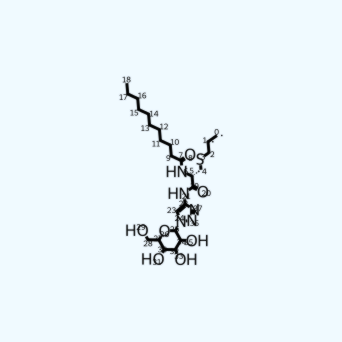 [CH2][CH]CSC[C@@H](NC(=O)CCCCCCCCCC)C(=O)Nc1cn(C2OC(CO)C(O)C(O)C2O)nn1